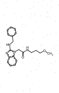 COCCCNC(=O)Cn1c(NCc2ccccc2)nc2ccccc21